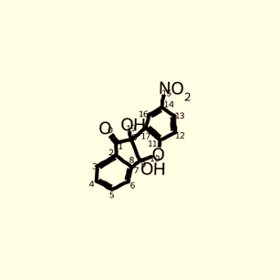 O=C1c2ccccc2C2(O)Oc3ccc([N+](=O)[O-])cc3C12O